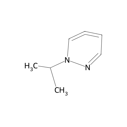 CC(C)N1C=C=CC=N1